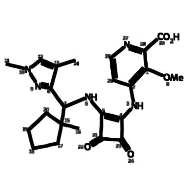 COc1c(Nc2c(NC(c3nn(C)cc3C)C3(C)CCCC3)c(=O)c2=O)ccnc1C(=O)O